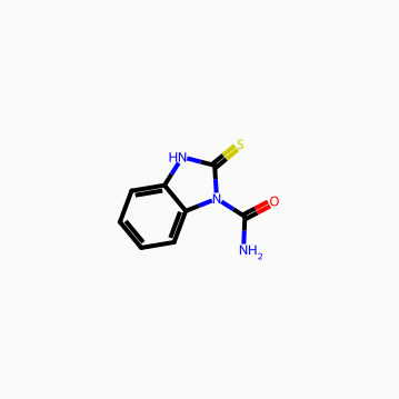 NC(=O)n1c(=S)[nH]c2ccccc21